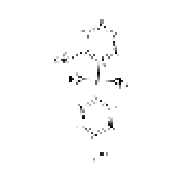 CC(C)(c1ccc(C=O)cc1)c1ccccc1C=O